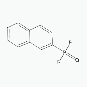 O=P(F)(F)c1ccc2ccccc2c1